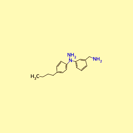 CCCCc1ccc(N(N)c2cccc(CN)c2)cc1